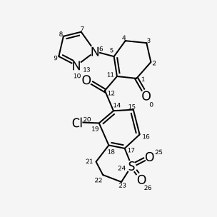 O=C1CCCC(n2cccn2)=C1C(=O)c1ccc2c(c1Cl)CCCS2(=O)=O